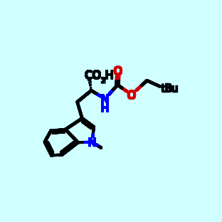 Cn1cc(C[C@@H](NC(=O)OCC(C)(C)C)C(=O)O)c2ccccc21